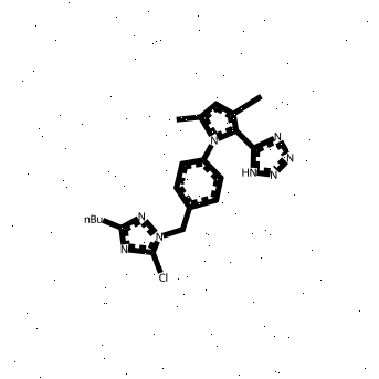 CCCCc1nc(Cl)n(Cc2ccc(-n3c(C)cc(C)c3-c3nnn[nH]3)cc2)n1